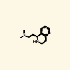 CN(C)CCC1NCCc2ccccc21